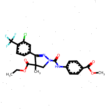 CCOC(=O)C1(C)CN(C(=O)Nc2ccc(C(=O)OC)cc2)N=C1c1ccc(C(F)(F)F)c(Cl)c1